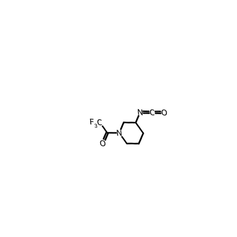 O=C=NC1CCCN(C(=O)C(F)(F)F)C1